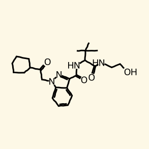 CC(C)(C)C(NC(=O)c1nn(CC(=O)C2CCCCC2)c2ccccc12)C(=O)NCCO